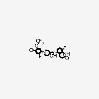 O=C1CCc2c(OCC3(O)CCN(c4cc(OCC(F)(F)F)c(Cl)cc4F)CC3)ccc(F)c2N1